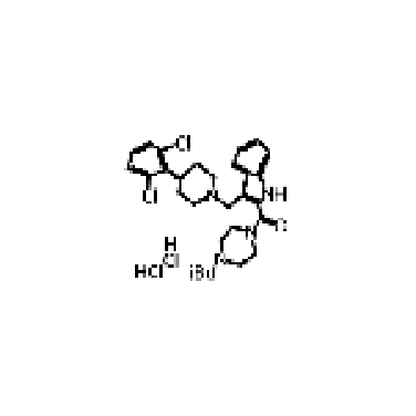 CCC(C)N1CCN(C(=O)c2[nH]c3ccccc3c2CN2CCC(c3c(Cl)cccc3Cl)CC2)CC1.Cl.Cl